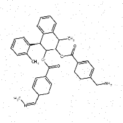 C/N=C\C1C=CC(C(=O)OC2C(OC(=O)C3=CC=C(CN)CC3)C(C)c3ccccc3[C@@H]2c2ccccc2C)=CC1